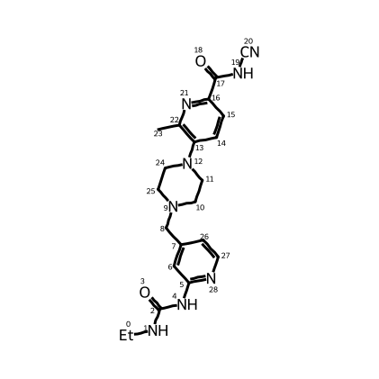 CCNC(=O)Nc1cc(CN2CCN(c3ccc(C(=O)NC#N)nc3C)CC2)ccn1